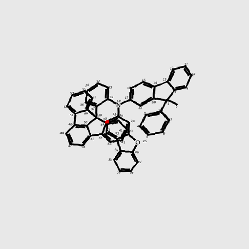 CC1(c2ccccc2)c2ccccc2-c2ccc(N(c3ccc4c(c3)oc3ccccc34)c3ccccc3C34c5ccccc5-c5cccc(c53)-c3ccccc34)cc21